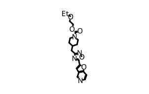 CCOCCOC(=O)N1CCC(Cc2noc(-c3cc4cnccc4o3)n2)CC1